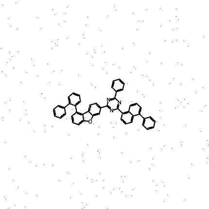 c1ccc(-c2nc(-c3ccc4c(c3)oc3cccc(-c5ccccc5-c5ccccc5)c34)nc(-c3cccc4c(-c5ccccc5)cccc34)n2)cc1